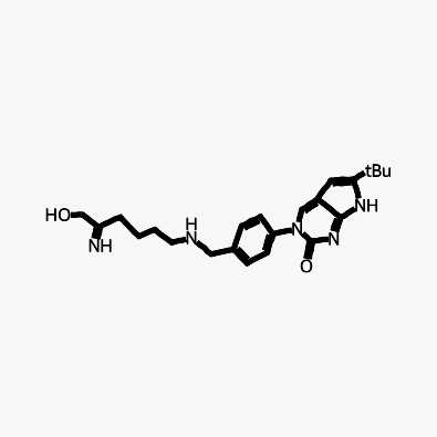 CC(C)(C)c1cc2cn(-c3ccc(CNCCCCC(=N)CO)cc3)c(=O)nc2[nH]1